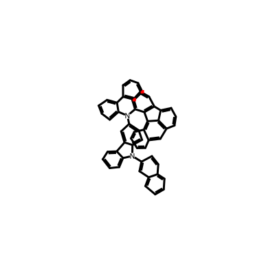 c1ccc(-c2ccccc2N(c2ccc3c(c2)c2ccccc2n3-c2ccc3ccccc3c2)c2cccc3c2-c2c4ccccc4cc4cccc-3c24)cc1